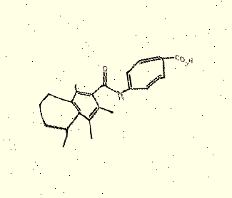 Cc1c(C)c2c(c(C)c1C(=O)Nc1ccc(C(=O)O)cc1)CCCC2C